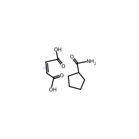 NC(=O)C1CCCC1.O=C(O)/C=C\C(=O)O